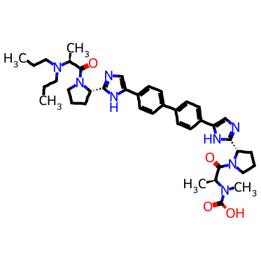 CCCN(CCC)[C@@H](C)C(=O)N1CCC[C@H]1c1ncc(-c2ccc(-c3ccc(-c4cnc([C@@H]5CCCN5C(=O)[C@H](C)N(C)C(=O)O)[nH]4)cc3)cc2)[nH]1